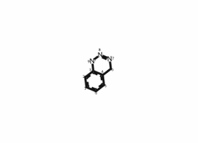 c1ccc2c(c1)CN=N[N]2